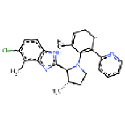 CC1=CC[CH]C(c2ccccn2)=C1N1CC[C@H](C)[C@H]1c1nc2c(C)c(Cl)ccc2[nH]1